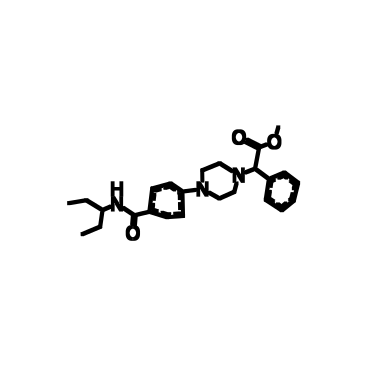 CCC(CC)NC(=O)c1ccc(N2CCN(C(C(=O)OC)c3ccccc3)CC2)cc1